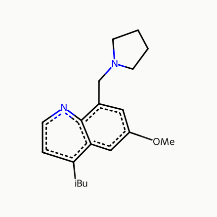 CCC(C)c1ccnc2c(CN3CCCC3)cc(OC)cc12